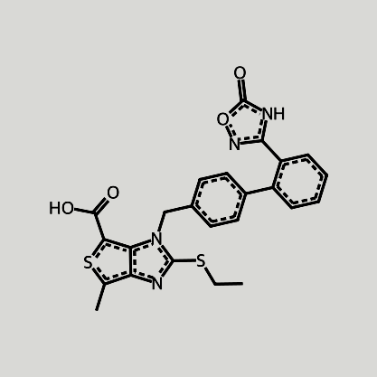 CCSc1nc2c(C)sc(C(=O)O)c2n1Cc1ccc(-c2ccccc2-c2noc(=O)[nH]2)cc1